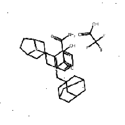 NC(=O)c1ccccc1C1CC2CCC(C1)N2CCN(CC12CC3CC(CC(C3)C1)C2)C(=O)CO.O=C(O)C(F)(F)F